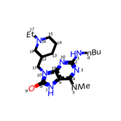 CCCCNc1nc(NC)c2[nH]c(=O)n(CC3CCCN(CC)C3)c2n1